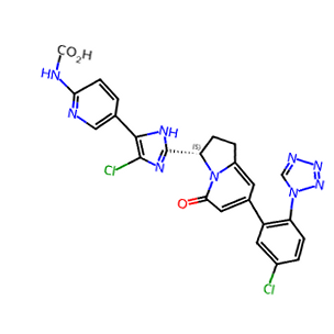 O=C(O)Nc1ccc(-c2[nH]c([C@@H]3CCc4cc(-c5cc(Cl)ccc5-n5cnnn5)cc(=O)n43)nc2Cl)cn1